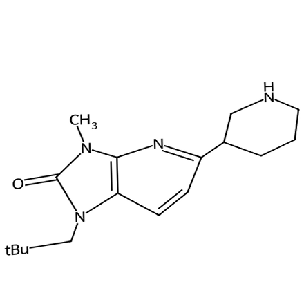 Cn1c(=O)n(CC(C)(C)C)c2ccc(C3CCCNC3)nc21